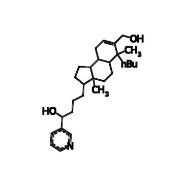 CCCCC1(C)C(CO)=CCC2C1CCC1(C)C(CCCC(O)c3cccnc3)CCC21